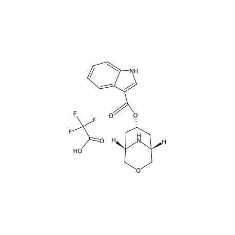 O=C(O)C(F)(F)F.O=C(O[C@H]1C[C@H]2COC[C@@H](C1)N2)c1c[nH]c2ccccc12